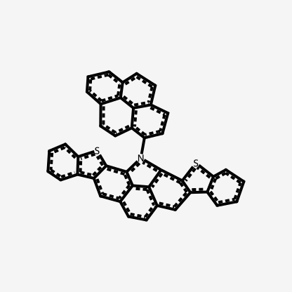 c1cc2ccc3ccc(-n4c5c6sc7ccccc7c6cc6ccc7cc8c9ccccc9sc8c4c7c65)c4ccc(c1)c2c34